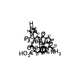 CC(C)C[C@H](NC(=O)[C@H](Cc1c[nH]cn1)NC(=O)[C@@H]1CCCN1C(=O)[C@@H]1CCCN1C(=O)[C@H](C)N)C(=O)N[C@@H](Cc1ccccc1)C(=O)O